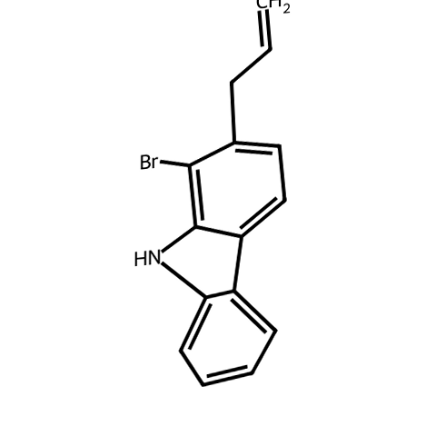 C=CCc1ccc2c([nH]c3ccccc32)c1Br